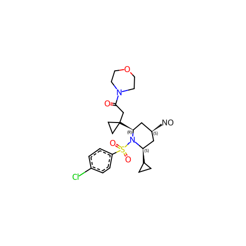 O=N[C@H]1C[C@@H](C2CC2)N(S(=O)(=O)c2ccc(Cl)cc2)[C@@H](C2(CC(=O)N3CCOCC3)CC2)C1